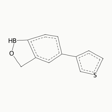 B1OCc2cc(-c3ccsc3)ccc21